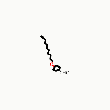 C#CCCCCCCCCCOc1ccc(C=O)cc1